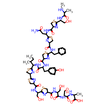 CCC(C)C(NC(=O)C(Cc1ccc(O)cc1)NC(=O)C1CSC(C(Cc2ccccc2)NC(=O)C2CSC(C(CC(N)=O)NC(=O)C3CSC(C(CO)NC(=O)C(C)NC)=N3)=N2)=N1)C1=NC(C2=NC(C(=O)NC(CO)C3=NC(C(=O)NC(CO)C(=O)NC(CO)C(=O)NC(C)C(=O)O)CS3)CS2)CS1